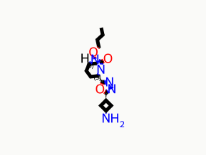 CCCCON1C(=O)N2C[C@@H]1CC[C@H]2c1nnc([C@H]2C[C@@H](N)C2)o1